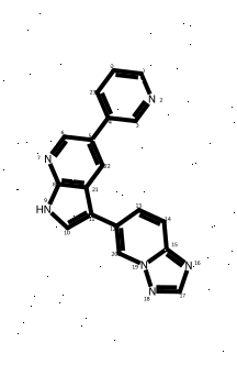 c1cncc(-c2cnc3[nH]cc(-c4ccc5ncnn5c4)c3c2)c1